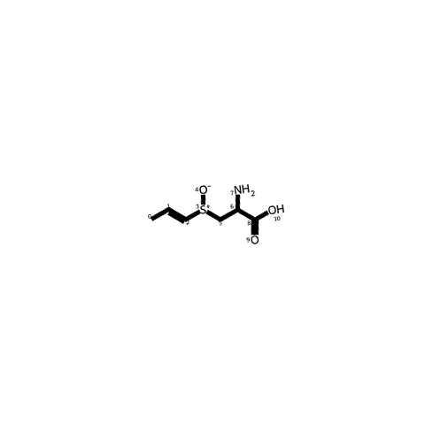 CC=C[S+]([O-])CC(N)C(=O)O